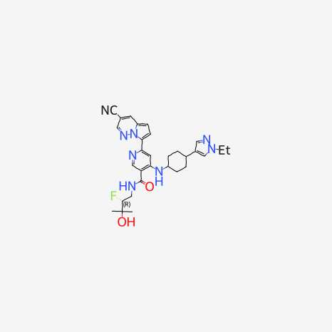 CCn1cc(C2CCC(Nc3cc(-c4ccc5cc(C#N)cnn45)ncc3C(=O)NC[C@@H](F)C(C)(C)O)CC2)cn1